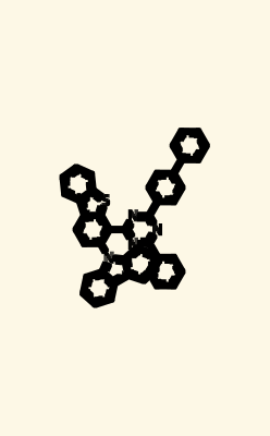 c1ccc(-c2ccc(-c3nc(-c4ccccc4)nc(-c4c(-n5c6ccccc6c6ccccc65)ccc5c4sc4ccccc45)n3)cc2)cc1